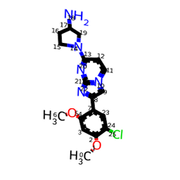 COc1cc(OC)c(-c2cn3ccc(N4CCC(N)C4)nc3n2)cc1Cl